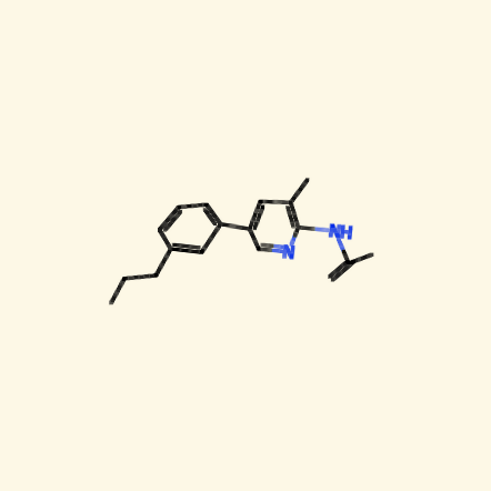 C=C(C)Nc1ncc(-c2cccc(CCC)c2)cc1C